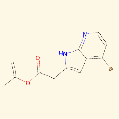 C=C(C)OC(=O)Cc1cc2c(Br)ccnc2[nH]1